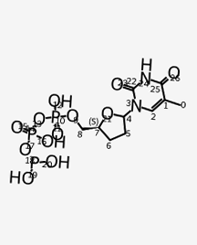 Cc1cn(C2CC[C@@H](COP(=O)(O)OP(=O)(O)OP(O)O)O2)c(=O)[nH]c1=O